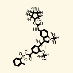 [2H]C([2H])([2H])Oc1cc(C(=O)NS(=O)(=O)c2ccccc2C)ccc1C([2H])([2H])c1cn(C([2H])([2H])[2H])c2ccc(NC(=O)OC3C([2H])([2H])C([2H])([2H])C([2H])([2H])C3([2H])[2H])cc12